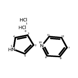 Cl.Cl.c1cc[nH]c1.c1ccncc1